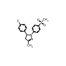 CC1=NN(c2ccc(S(C)(=O)=O)cc2)C(c2ccc(F)cc2)C1